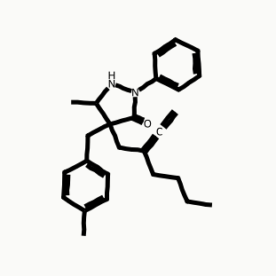 C=C=C(CCCC)CC1(Cc2ccc(C)cc2)C(=O)N(c2ccccc2)NC1C